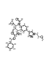 COCCn1cc(-c2ccc3c(c2)[C@H](NC(=O)OCc2ccccc2)[C@@H](C)[C@@H](C2CC2)N3C(C)=O)cn1